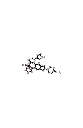 CN1CCN(c2nc3cc(N4CCCCC4)c(N4C(C(N)=O)=CSC4c4cc[nH]n4)cc3o2)CC1